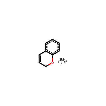 C1=Cc2ccccc2OC1.[SbH3].[TeH2]